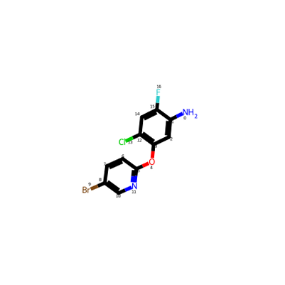 Nc1cc(Oc2ccc(Br)cn2)c(Cl)cc1F